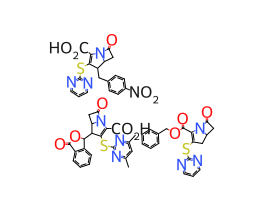 Cc1cc(C)nc(SC2=C(C(=O)O)N3C(=O)CC3C2C2OC(=O)c3ccccc32)n1.O=C(O)C1=C(Sc2ncccn2)C(Cc2ccc([N+](=O)[O-])cc2)C2CC(=O)N12.O=C(OCc1ccccc1)C1=C(Sc2ncccn2)CC2CC(=O)N12